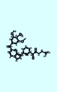 COc1cc(Nc2ncc3ccn(-c4cccc(C(=O)NCCN(C)C)n4)c3n2)cc(OC)c1OC